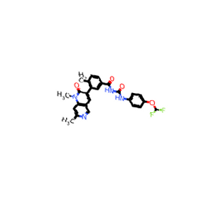 Cc1cc2c(cn1)cc(-c1cc(C(=O)NC(=O)Nc3ccc(OC(F)F)cc3)ccc1C)c(=O)n2C